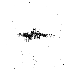 C#Cc1cc(Nc2nccc(Oc3ccc(NC(=O)Nc4cc(C(C)(C)C)nn4C(C)(C)C)c4ccccc34)n2)cc(C(=O)NCCOCCOCCOC)c1